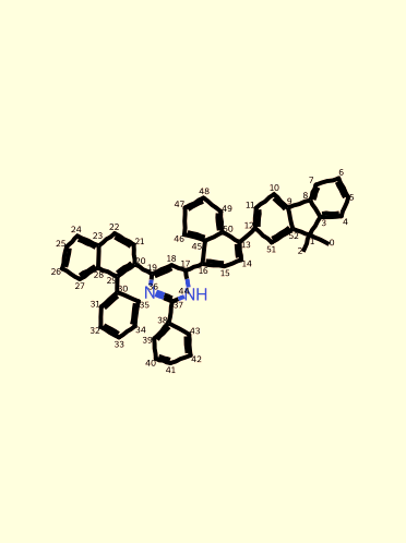 CC1(C)c2ccccc2-c2ccc(-c3ccc(C4C=C(c5ccc6ccccc6c5-c5ccccc5)N=C(c5ccccc5)N4)c4ccccc34)cc21